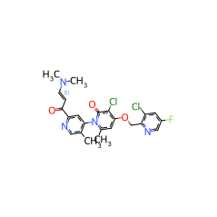 Cc1cnc(C(=O)/C=C/N(C)C)cc1-n1c(C)cc(OCc2ncc(F)cc2Cl)c(Cl)c1=O